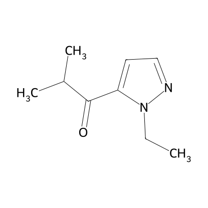 CCn1nccc1C(=O)C(C)C